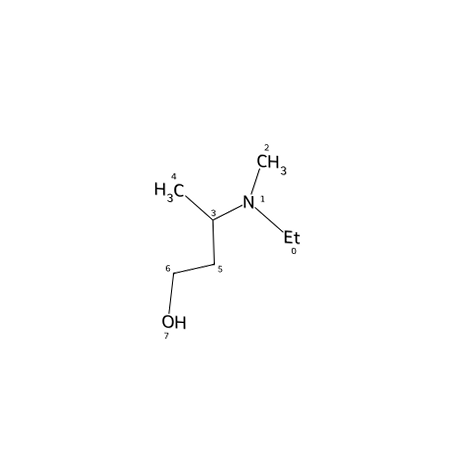 CCN(C)C(C)CCO